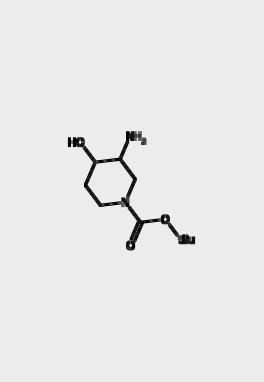 CC(C)(C)OC(=O)N1CCC(O)C(N)C1